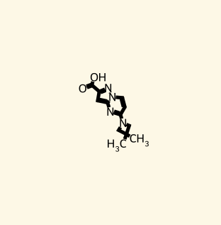 CC1(C)CN(c2ccn3nc(C(=O)O)cc3n2)C1